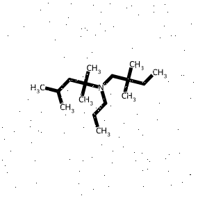 CCCN(CC(C)(C)CC)C(C)(C)CC(C)C